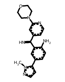 Cn1nccc1-c1ccc(N)c(C(=N)c2ccnc(N3CCOCC3)c2)c1